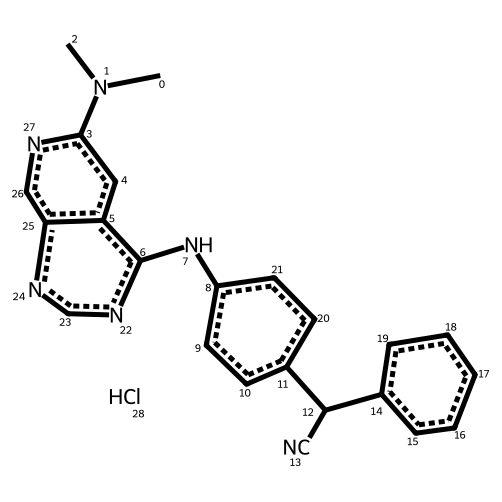 CN(C)c1cc2c(Nc3ccc(C(C#N)c4ccccc4)cc3)ncnc2cn1.Cl